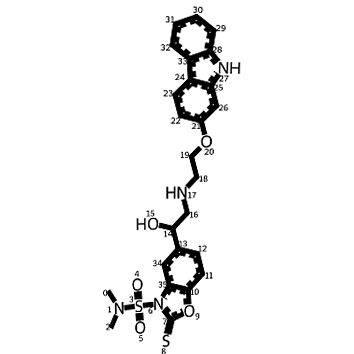 CN(C)S(=O)(=O)n1c(=S)oc2ccc(C(O)CNCCOc3ccc4c(c3)[nH]c3ccccc34)cc21